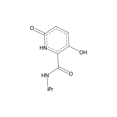 CC(C)NC(=O)c1[nH]c(=O)ccc1O